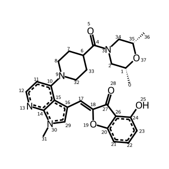 C[C@@H]1CN(C(=O)C2CCN(c3ccnc4c3c(/C=C3\Oc5cccc(O)c5C3=O)cn4C)CC2)C[C@H](C)O1